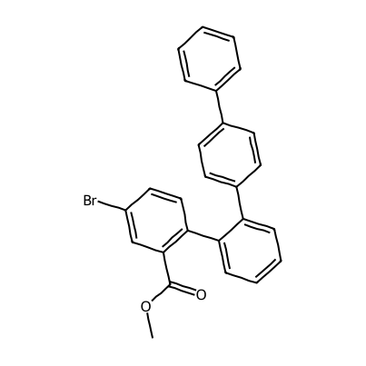 COC(=O)c1cc(Br)ccc1-c1ccccc1-c1ccc(-c2ccccc2)cc1